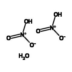 O.O=[N+]([O-])O.O=[N+]([O-])O